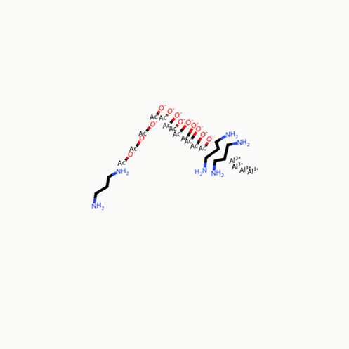 CC(=O)[O-].CC(=O)[O-].CC(=O)[O-].CC(=O)[O-].CC(=O)[O-].CC(=O)[O-].CC(=O)[O-].CC(=O)[O-].CC(=O)[O-].CC(=O)[O-].CC(=O)[O-].CC(=O)[O-].NCCCN.NCCCN.NCCCN.[Al+3].[Al+3].[Al+3].[Al+3]